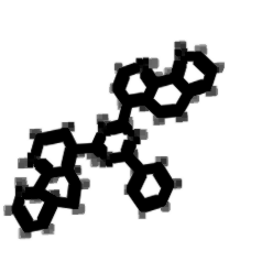 c1ccc(-c2nc(-c3ccnc4c3ccc3cccnc34)nc(-c3ccnc4c3ccc3cccnc34)n2)cc1